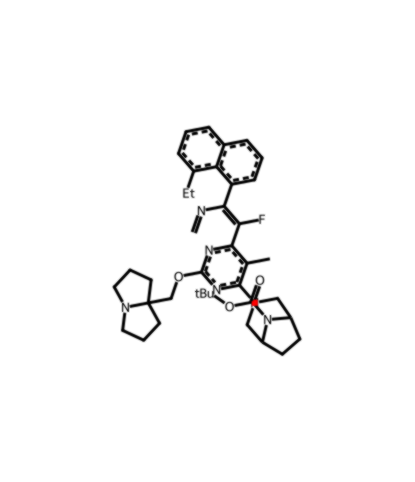 C=N/C(=C(/F)c1nc(OCC23CCCN2CCC3)nc(N2CC3CCC(C2)N3C(=O)OC(C)(C)C)c1C)c1cccc2cccc(CC)c12